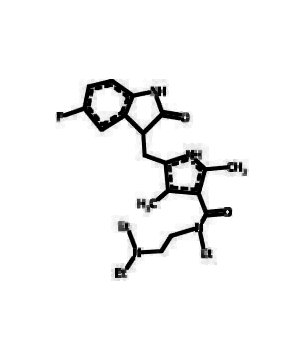 CCN(CC)CCN(CC)C(=O)c1c(C)[nH]c(CC2C(=O)Nc3ccc(F)cc32)c1C